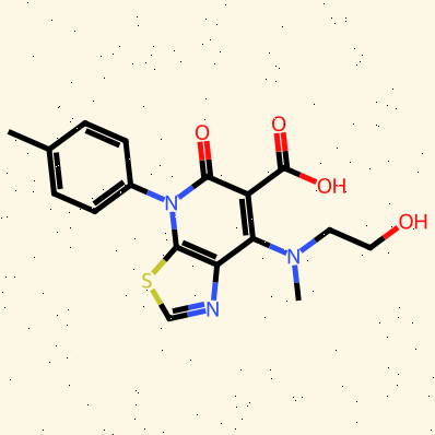 Cc1ccc(-n2c(=O)c(C(=O)O)c(N(C)CCO)c3ncsc32)cc1